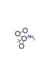 CC1(C)c2ccccc2-c2cc(N)cc(-c3ccccc3-c3ccccc3)c21